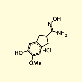 COc1cc2c(cc1O)CC(/C(N)=N/O)C2.Cl